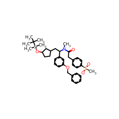 CN(C(=O)Cc1ccc(S(C)(=O)=O)cc1)C(CC1CCC(O[Si](C)(C)C(C)(C)C)C1)c1cccc(OCc2ccccc2)c1